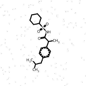 CC(C)Cc1ccc(C(C)C(=O)NS(=O)(=O)C2CCCCC2)cc1